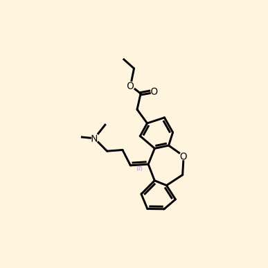 CCOC(=O)Cc1ccc2c(c1)/C(=C\CCN(C)C)c1ccccc1CO2